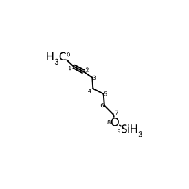 CC#CCCCCCO[SiH3]